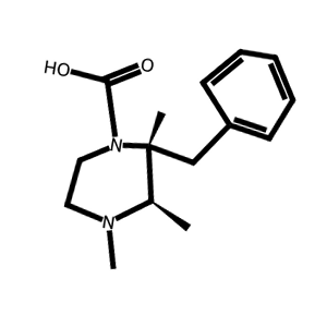 C[C@H]1N(C)CCN(C(=O)O)[C@]1(C)Cc1ccccc1